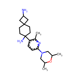 Cc1nc(N2CC(C)OC(C)C2)ccc1C1(N)CCC2(CC1)CC(N)C2